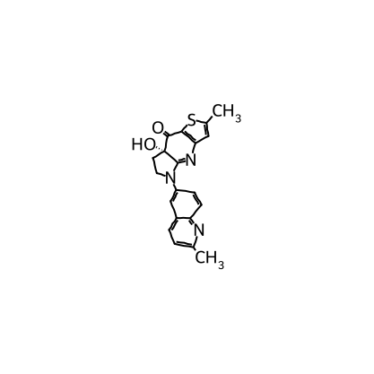 Cc1ccc2cc(N3CC[C@@]4(O)C(=O)c5sc(C)cc5N=C34)ccc2n1